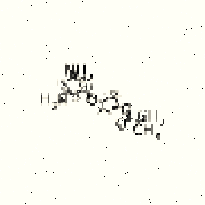 C=C(C)C(=O)Oc1ccc(OCc2cc(N)cc(N)c2)cc1